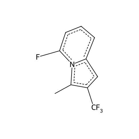 Cc1c(C(F)(F)F)cc2cccc(F)n12